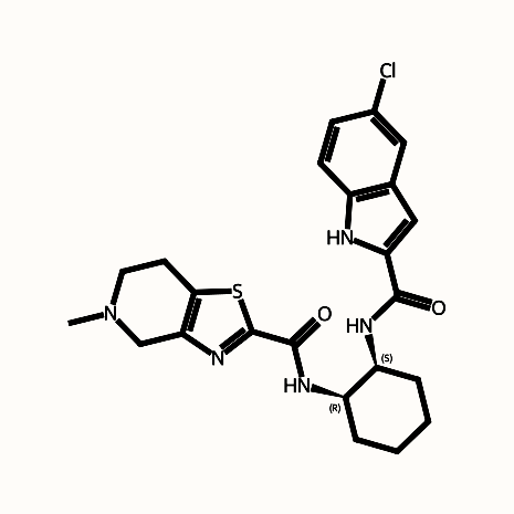 CN1CCc2sc(C(=O)N[C@@H]3CCCC[C@@H]3NC(=O)c3cc4cc(Cl)ccc4[nH]3)nc2C1